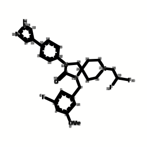 COc1cc(F)cc(CN2C(=O)N(c3ccc(-c4cn[nH]c4)cc3)CC23CCN(CC(F)F)CC3)c1